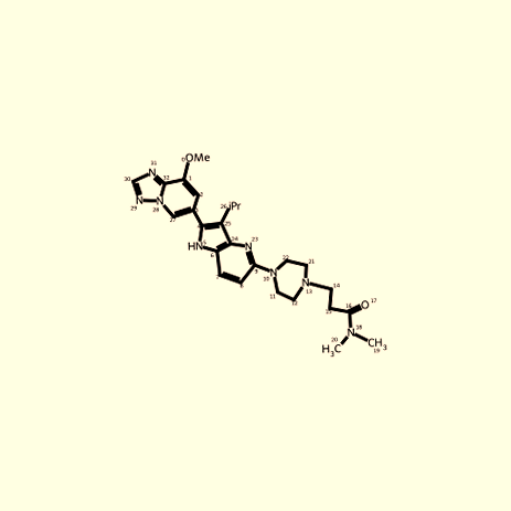 COc1cc(-c2[nH]c3ccc(N4CCN(CCC(=O)N(C)C)CC4)nc3c2C(C)C)cn2ncnc12